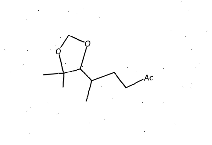 CC(=O)CCC(C)C1OCOC1(C)C